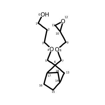 OCCCOCC1(COCC2CO2)CC2CCC1C2